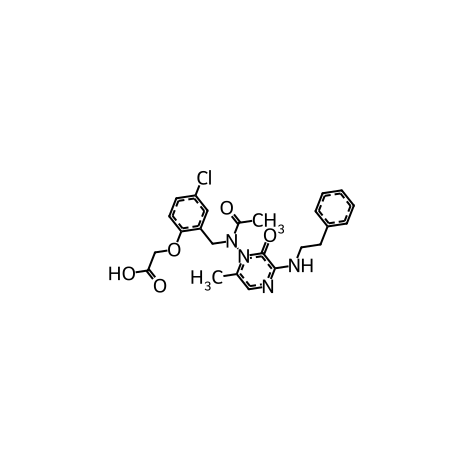 CC(=O)N(Cc1cc(Cl)ccc1OCC(=O)O)n1c(C)cnc(NCCc2ccccc2)c1=O